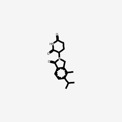 Cc1c(C(C)C)ccc2c1CN(C1CCC(=O)NC1=O)C2=O